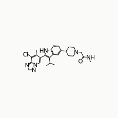 CNC(=O)CN1CCC(c2ccc3[nH]c(-c4cn5ncnc5c(Cl)c4C)c(C(C)C)c3c2)CC1